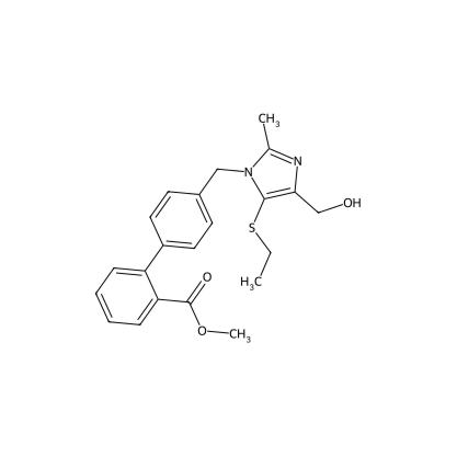 CCSc1c(CO)nc(C)n1Cc1ccc(-c2ccccc2C(=O)OC)cc1